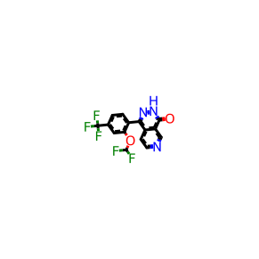 O=c1[nH]nc(-c2ccc(C(F)(F)F)cc2OC(F)F)c2ccncc12